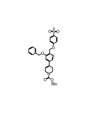 CC(C)(C)OC(=O)N1CC=C(c2cnc(COc3ccc(S(C)(=O)=O)cc3)c(OCc3ccccc3)c2)CC1